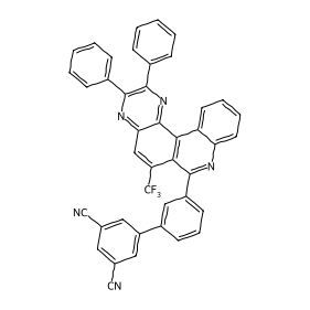 N#Cc1cc(C#N)cc(-c2cccc(-c3nc4ccccc4c4c3c(C(F)(F)F)cc3nc(-c5ccccc5)c(-c5ccccc5)nc34)c2)c1